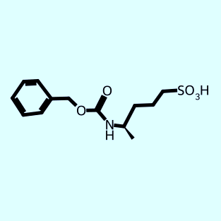 C[C@H](CCCS(=O)(=O)O)NC(=O)OCc1ccccc1